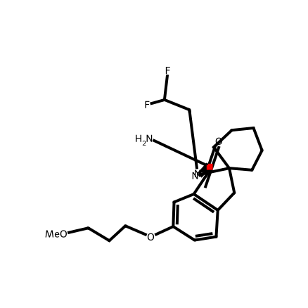 COCCCOc1ccc2c(c1)C1(N=C(N)N(CC(F)F)C1=O)C1(CCCCC1)C2